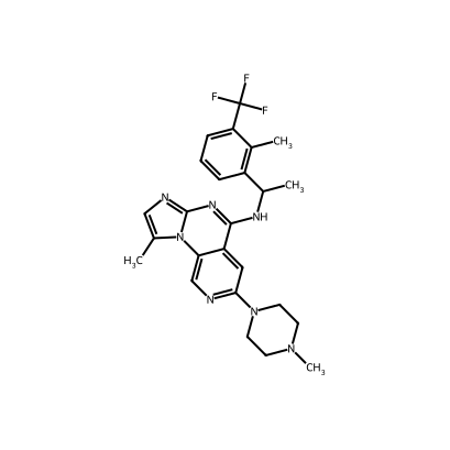 Cc1c(C(C)Nc2nc3ncc(C)n3c3cnc(N4CCN(C)CC4)cc23)cccc1C(F)(F)F